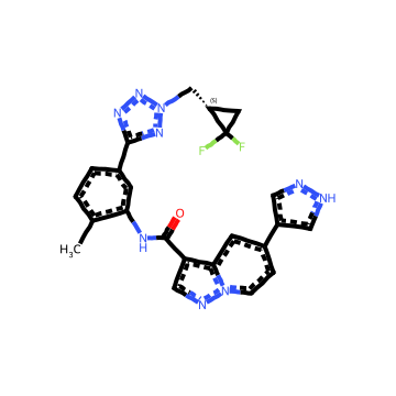 Cc1ccc(-c2nnn(C[C@@H]3CC3(F)F)n2)cc1NC(=O)c1cnn2ccc(-c3cn[nH]c3)cc12